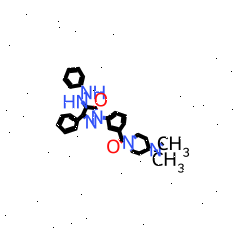 CN(C)C1CCN(C(=O)c2cccc(N3N=C(c4ccccc4)C(NNc4ccccc4)C3=O)c2)CC1